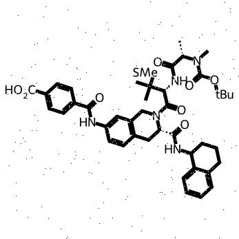 CSC(C)(C)[C@H](NC(=O)[C@H](C)N(C)C(=O)OC(C)(C)C)C(=O)N1Cc2cc(NC(=O)c3ccc(C(=O)O)cc3)ccc2C[C@H]1C(=O)NC1CCCc2ccccc21